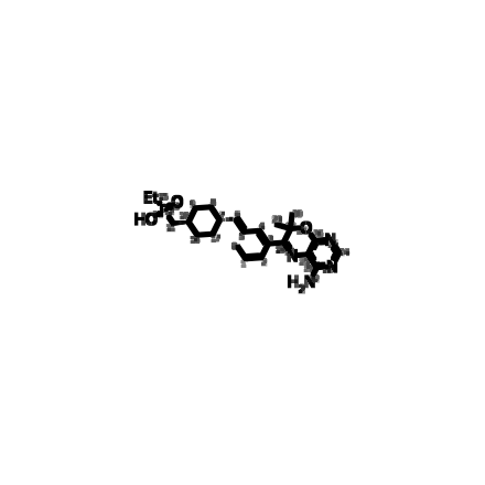 C\C=C/C(=C\C=C\[C@H]1CC[C@H](CP(=O)(O)CC)CC1)C1=Nc2c(N)ncnc2OC1(C)C